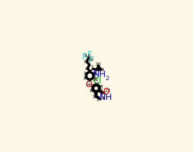 NC1(C[C@]2(CCCC(F)(F)F)CC[C@@H](Oc3cc4cc[nH]c(=O)c4cc3Cl)CC2)CC1